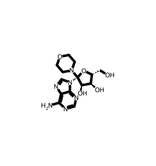 Nc1ncnc2c1ncn2[C@]1(N2CCOCC2)O[C@H](CO)[C@@H](O)[C@H]1O